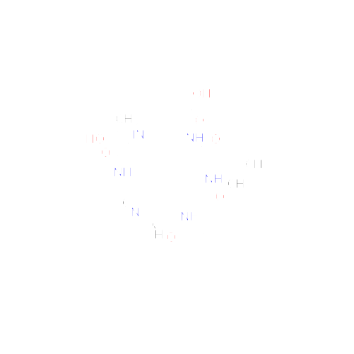 CC(C)C[C@@H]1NC(=O)[C@H](Cc2ccccc2)NC(=O)[C@@H]2CCCN2CCNC(=O)[C@H]([C@@H](C)O)NC[C@H](CC(=O)O)NC1=O